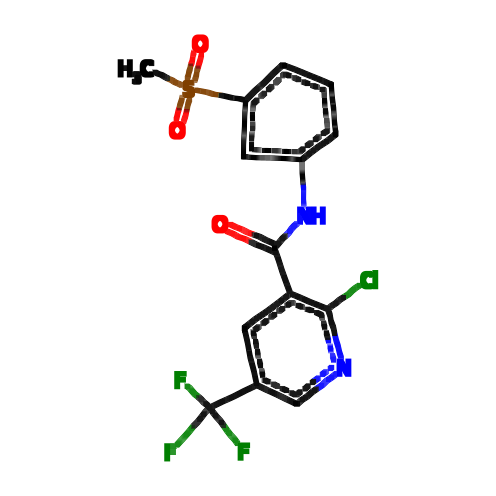 CS(=O)(=O)c1cccc(NC(=O)c2cc(C(F)(F)F)cnc2Cl)c1